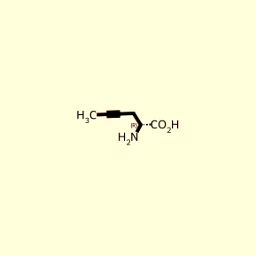 CC#CC[C@@H](N)C(=O)O